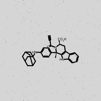 C#CC(=O)N1[C@@H](C(=O)O)Cc2c([nH]c3ccccc23)[C@]1(C)c1ccc(NC23CC4CC(CC(C4)C2)C3)cc1